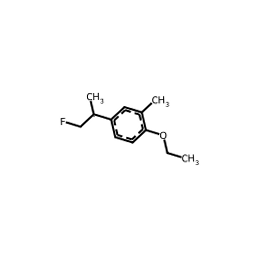 CCOc1ccc([C](C)CF)cc1C